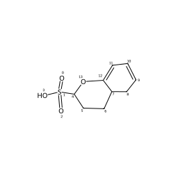 O=S(=O)(O)C1CCC2CC=CC=C2O1